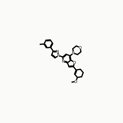 COC1C=C(c2cc3nc(-n4ccc(-c5cccc(C)c5)n4)cc(N4CCOCC4)c3o2)CCC1